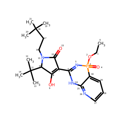 CCOP1(=O)N=C(C2=C(O)C(C(C)(C)C)N(CCC(C)(C)C)C2=O)Nc2ncccc21